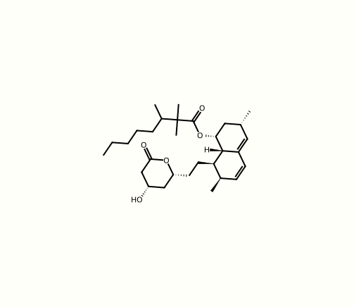 CCCCCC(C)C(C)(C)C(=O)O[C@@H]1C[C@H](C)C=C2C=C[C@@H](C)[C@@H](CC[C@@H]3C[C@H](O)CC(=O)O3)[C@@H]21